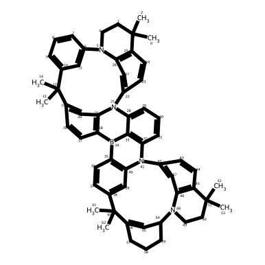 CC1(C)CCN2c3cccc(c3)C(C)(C)c3ccc4c(c3)N(c3ccc1c2c3)c1cccc2c1B4c1ccc3cc1N2c1ccc2c(c1)N(CCC2(C)C)C1C=C(CCC1)C3(C)C